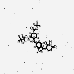 Cn1nc(C2CCC(=O)NC2=O)c2ccc(N[C@@H]3CCN(C(=O)OC(C)(C)C)C[C@@H]3CO[Si](C)(C)C(C)(C)C)cc21